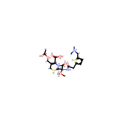 CO[C@@]1(NC(=O)Cc2ccc(CN(C)C)s2)C(=O)N2C(C(=O)O)=C(COC(C)=O)CS[C@@H]21